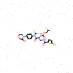 O=C(N[C@@H](CNC(=O)c1ccc(Cl)s1)C(=O)N(c1ccc(N2CCOCC2=O)cc1)C(F)F)OCC(F)F